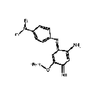 CCCCCOC1=C/C(=N\c2ccc(N(CC)C(C)C)cc2)C(N)=CC1=N